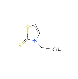 CCn1ccsc1=S